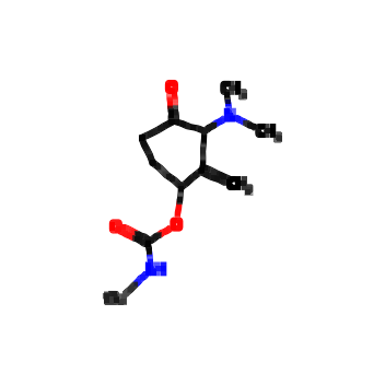 C=C1C(OC(=O)NC(C)(C)C)CCC(=O)C1N(C)C